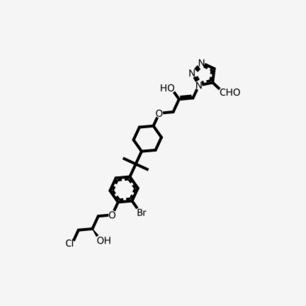 CC(C)(c1ccc(OC[C@@H](O)CCl)c(Br)c1)C1CCC(OC/C(O)=C/n2nncc2C=O)CC1